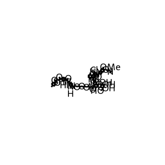 COc1cc2[nH]c(C(=O)N3C[C@@H](CCl)c4c3cc(OS(=O)(=O)Oc3cc(C(=O)NCCOCCOCCOCCN5C=C(CNC(=O)c6ccc(C(=O)CCS(=O)(=O)c7ccc(C)cc7)cc6)NN5)ccc3O[C@@H]3O[C@H](CO)[C@H](O)[C@H](O)C3O)c3cccc(C)c43)cc2cc1OCCN(C)C